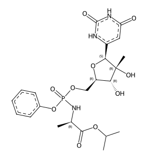 CC(C)OC(=O)[C@@H](C)NP(=O)(OC[C@H]1O[C@@H](c2cc(=O)[nH]c(=O)[nH]2)[C@](C)(O)[C@@H]1O)Oc1ccccc1